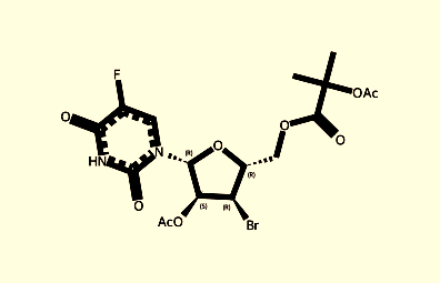 CC(=O)O[C@@H]1[C@H](Br)[C@@H](COC(=O)C(C)(C)OC(C)=O)O[C@H]1n1cc(F)c(=O)[nH]c1=O